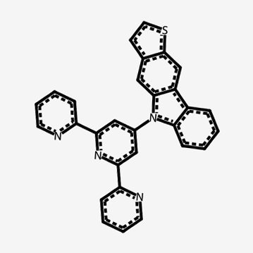 c1ccc(-c2cc(-n3c4ccccc4c4cc5sccc5cc43)cc(-c3ccccn3)n2)nc1